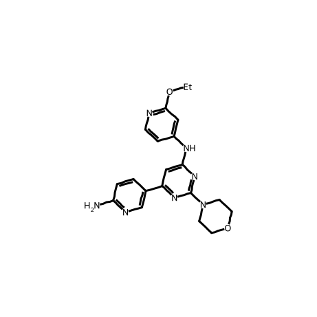 CCOc1cc(Nc2cc(-c3ccc(N)nc3)nc(N3CCOCC3)n2)ccn1